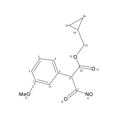 COc1cccc(C(C(=O)N=O)C(=O)OCC2CC2)c1